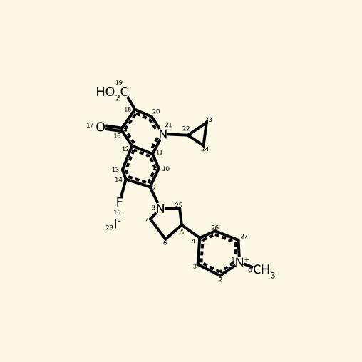 C[n+]1ccc(C2CCN(c3cc4c(cc3F)c(=O)c(C(=O)O)cn4C3CC3)C2)cc1.[I-]